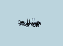 C=C(CCNC(=O)COc1ccc(Cl)c(F)c1)NC(=O)Cc1noc2ccccc12